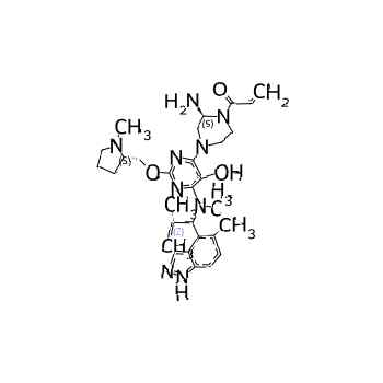 C=CC(=O)N1CCN(c2nc(OC[C@@H]3CCCN3C)nc(N(C)C(/C(C)=C\C)c3c(C)ccc4[nH]ncc34)c2O)C[C@H]1N